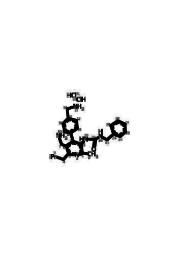 Cc1nc(CC(C)C)c(CN)c(-c2ccc(CN)cc2)c1NC(=O)NCc1ccccc1.Cl.Cl